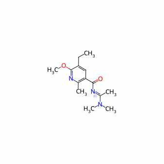 CCc1cc(C(=O)/N=C(\C)N(C)C)c(C)nc1OC